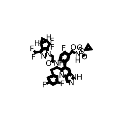 O=C(Cn1nc(C(F)F)c2c1C(F)(F)[C@@H]1C[C@H]21)NC(Cc1cc(F)cc(F)c1)c1nc2cn[nH]c2cc1-c1ccc(F)c(C(=O)NS(=O)(=O)C2CC2)c1